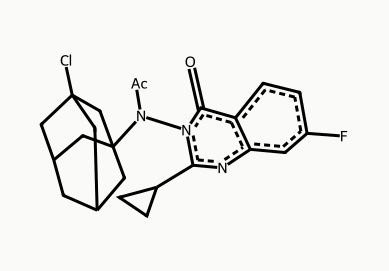 CC(=O)N(n1c(C2CC2)nc2cc(F)ccc2c1=O)C12CC3CC(CC(Cl)(C3)C1)C2